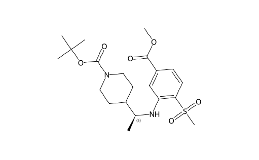 COC(=O)c1ccc(S(C)(=O)=O)c(N[C@@H](C)C2CCN(C(=O)OC(C)(C)C)CC2)c1